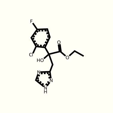 CCOC(=O)C(O)(Cc1nc[nH]n1)c1ccc(F)cc1Cl